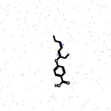 CC/C=C\C=C(/CC)Oc1ccc(C(=O)O)cc1